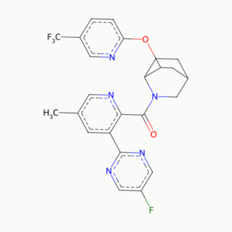 Cc1cnc(C(=O)N2CC3CCC2C(Oc2ccc(C(F)(F)F)cn2)C3)c(-c2ncc(F)cn2)c1